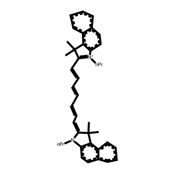 CCCN1C(=CC=CC=CC=CC2=[N+](CCC)c3ccc4ccccc4c3C2(C)C)C(C)(C)c2c1ccc1ccccc21